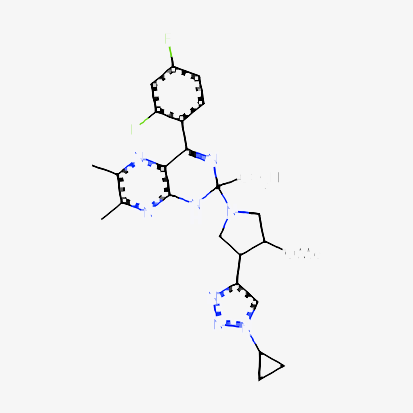 COC1CN(C2(C(=O)O)N=C(c3ccc(F)cc3F)c3nc(C)c(C)nc3N2)CC1c1cn(C2CC2)nn1